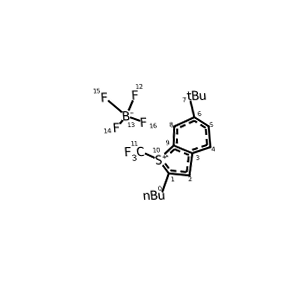 CCCCc1cc2ccc(C(C)(C)C)cc2[s+]1C(F)(F)F.F[B-](F)(F)F